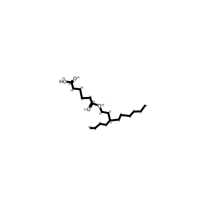 CCCCCCC(CCCC)CCOC(=O)CCCCC(=O)O